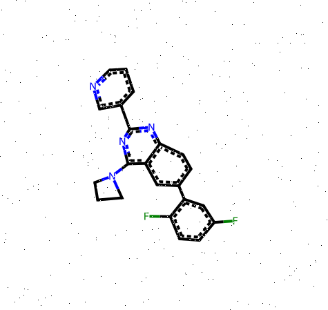 Fc1ccc(F)c(-c2ccc3nc(-c4cccnc4)nc(N4CCC4)c3c2)c1